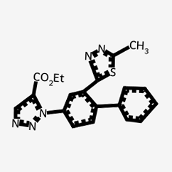 CCOC(=O)c1cnnn1-c1ccc(-c2ccccc2)c(-c2nnc(C)s2)c1